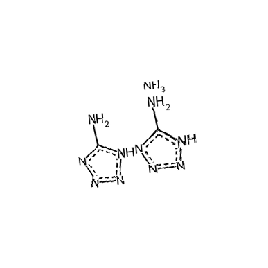 N.Nc1nnn[nH]1.Nc1nnn[nH]1